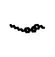 CCCCCCCCc1ccc(-c2ccc3c(c2)CCC(CCC)C3)cc1